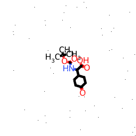 CC(C)(C)OC(=O)NC(C(=O)O)C1CCC(=O)CC1